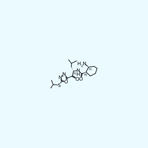 CC(C)C[C@H](NC(=O)[C@@H]1CCCC[C@@H]1N)C(=O)c1nnc(SC(C)C)o1